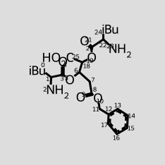 CCC(C)C(N)C(=O)OC(CC(=O)OCc1ccccc1)C(OC(=O)C(N)C(C)CC)C(=O)O